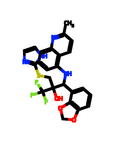 Cc1ccc2c(NC(c3cccc4c3OCO4)C(O)(CSc3ncc[nH]3)C(F)(F)F)cccc2n1